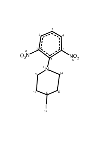 O=[N+]([O-])c1cccc([N+](=O)[O-])c1N1CCC(I)CC1